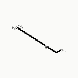 CCCC/C=C\CCCCCCCC(=O)OCCCCCCCCCCCCCCCCCCCCCCCCCC(C)C